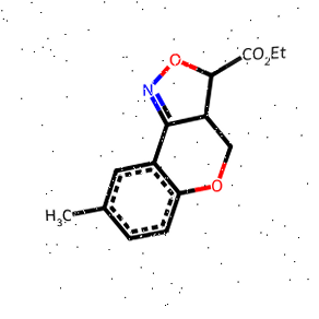 CCOC(=O)C1ON=C2c3cc(C)ccc3OCC21